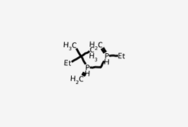 C=[PH](CC)C[PH](=C)C(C)(C)CC